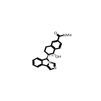 CNC(=O)c1ccc2c(c1)CC[C@H](C1c3ccccc3-c3cncn31)[C@H]2O